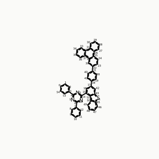 c1ccc(-c2nc(-c3ccccc3)nc(-c3cc(-c4ccc(-c5ccc6c7ccccc7c7ccccc7c6c5)cc4)cc4sc5ccccc5c34)n2)cc1